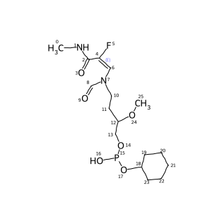 CNC(=O)/C(F)=C\N(C=O)CCC(COP(O)OC1CCCCC1)OC